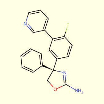 NC1=N[C@@](c2ccccc2)(c2ccc(F)c(-c3cccnc3)c2)CO1